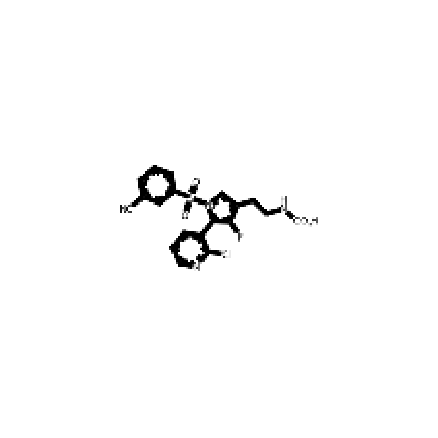 N#Cc1cccc(S(=O)(=O)n2cc(CCNC(=O)O)c(F)c2-c2cccnc2Cl)c1